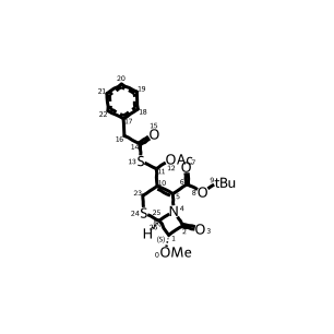 CO[C@H]1C(=O)N2C(C(=O)OC(C)(C)C)=C(C(OC(C)=O)SC(=O)Cc3ccccc3)CS[C@H]12